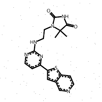 CC1(C)C(=O)NC(=O)N1CCNc1nccc(-c2cc3cnccc3s2)n1